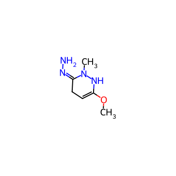 COC1=CCC(=NN)N(C)N1